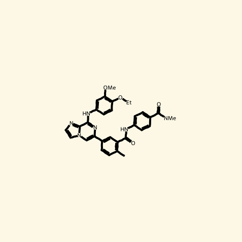 CCOc1ccc(Nc2nc(-c3ccc(C)c(C(=O)Nc4ccc(C(=O)NC)cc4)c3)cn3ccnc23)cc1OC